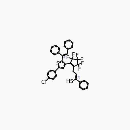 FC1(F)C(C/C=C(\S)c2ccccc2)=C(c2cc(-c3ccc(Cl)cc3)sc2/C(=C/c2ccccc2)c2ccccc2)C(F)(F)C1(F)F